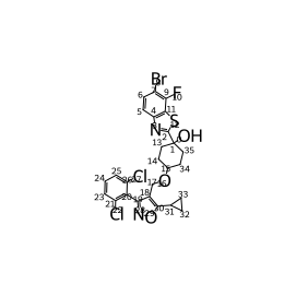 OC1(c2nc3ccc(Br)c(F)c3s2)CCC(OCc2c(-c3c(Cl)cccc3Cl)noc2C2CC2)CC1